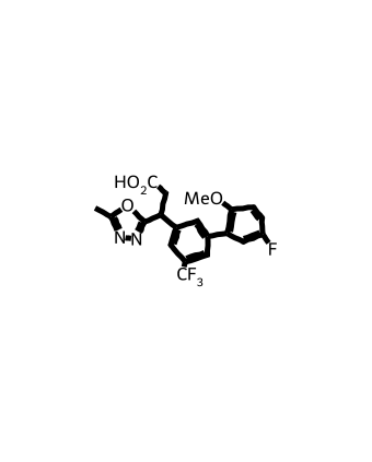 COc1ccc(F)cc1-c1cc(C(CC(=O)O)c2nnc(C)o2)cc(C(F)(F)F)c1